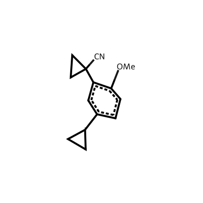 COc1ccc([C]2CC2)cc1C1(C#N)CC1